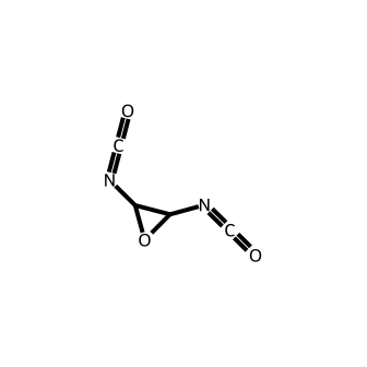 O=C=NC1OC1N=C=O